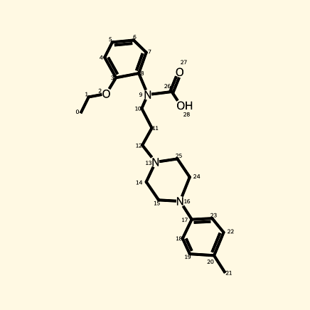 CCOc1ccccc1N(CCCN1CCN(c2ccc(C)cc2)CC1)C(=O)O